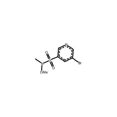 CON(C)S(=O)(=O)c1cncc(Br)c1